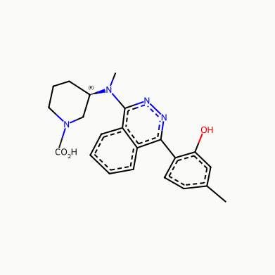 Cc1ccc(-c2nnc(N(C)[C@@H]3CCCN(C(=O)O)C3)c3ccccc23)c(O)c1